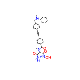 CNC(=O)C(C(=O)NO)N(C)C(=O)c1ccc(C#Cc2ccc(CN(C)C3CCCCC3)cc2)cc1